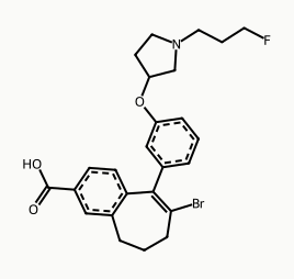 O=C(O)c1ccc2c(c1)CCCC(Br)=C2c1cccc(OC2CCN(CCCF)C2)c1